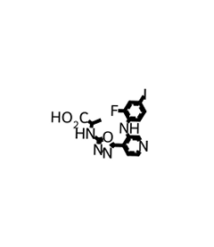 CC(Nc1nnc(-c2ccncc2Nc2ccc(I)cc2F)o1)C(=O)O